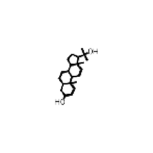 CC(C)(O)C1CCC2C3CCC4CC(O)CCC4(C)C3CCC21C